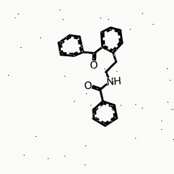 O=C(NCCc1ccccc1C(=O)c1ccccc1)c1ccccc1